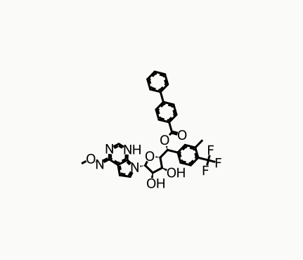 CO/N=c1\nc[nH]c2c1ccn2[C@@H]1O[C@H]([C@H](OC(=O)c2ccc(-c3ccccc3)cc2)c2ccc(C(F)(F)F)c(C)c2)[C@@H](O)[C@H]1O